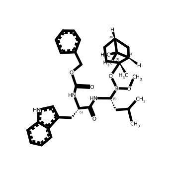 COB(O[C@]1(C)CC[C@@H]2C[C@H]1C2(C)C)[C@H](CC(C)C)NC(=O)[C@H](Cc1c[nH]c2ccccc12)NC(=O)OCc1ccccc1